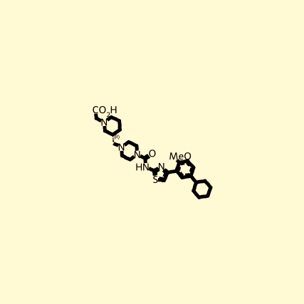 COc1ccc(C2CCCCC2)cc1-c1csc(NC(=O)N2CCN(C[C@H]3CCCN(CC(=O)O)C3)CC2)n1